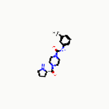 Cc1cccc(NC(=O)N2CCN(C(=O)[C@@H]3CCCN3)CC2)c1